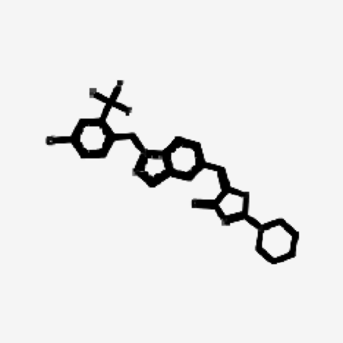 O=C1N=C(N2CC[CH]CC2)SC1=Cc1ccc2c(cnn2Cc2ccc(Cl)cc2C(F)(F)F)c1